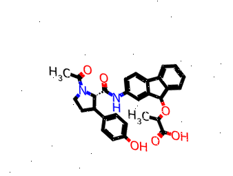 CC(=O)N1CCC(c2ccc(O)cc2)[C@H]1C(=O)Nc1ccc2c(c1)C(OC(C)C(=O)O)c1ccccc1-2